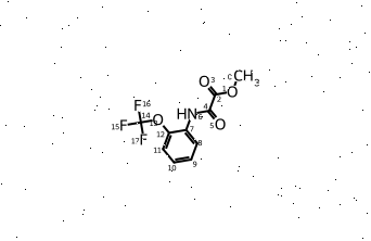 COC(=O)C(=O)Nc1ccccc1OC(F)(F)F